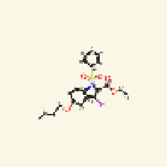 CCCCOc1ccc2c(c1)c(I)c(C(=O)OCC)n2S(=O)(=O)c1ccccc1